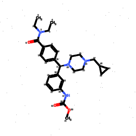 CCN(CC)C(=O)c1ccc([C@H](c2cccc(NC(=O)OC)c2)N2CCN(CC3CC3)CC2)cc1